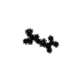 CC1(C)CCC(C)(C)c2cc(-c3nc(-c4cccc5c4sc4ccccc45)nc(-c4cccc5c4sc4ccc(C6CC(C)(C)c7cc(-c8nc(-c9ccccc9)nc(-c9cc(-c%10ccccc%10)cc(-c%10ccccc%10)c9)n8)ccc7C6(C)C)cc45)n3)ccc21